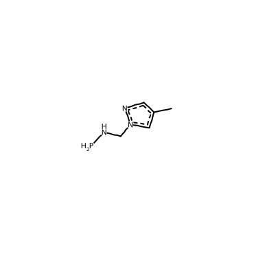 Cc1cnn(CNP)c1